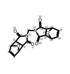 O=C1C2C3C=CC(O3)C2C(=O)N1CN1C(=O)C2C3C=CC(O3)C2C1=O